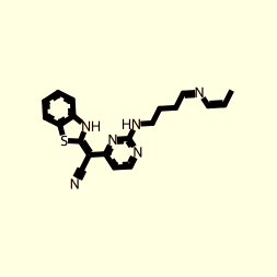 C/C=C\N=C/CCCNc1nccc(/C(C#N)=C2\Nc3ccccc3S2)n1